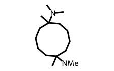 CNC1(C)CCCCC(C)(N(C)C)CCCC1